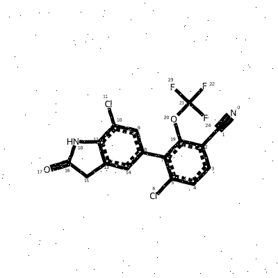 N#Cc1ccc(Cl)c(-c2cc(Cl)c3c(c2)CC(=O)N3)c1OC(F)(F)F